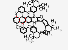 Cc1ccccc1N(c1cc2c3c(c1)N1c4ccc5c(c4)C(C)(CCC5(C)C)C[C@@]4(C)CCC(C)(C)c5cc6oc(c1c6cc54)B3c1cc3c(cc1N2c1cccc2c1C1=CC=CCC1CS2)C(C)(C)CCC3(C)C)c1ccccc1C